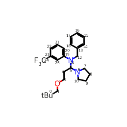 CC(C)(C)COCCC(N1CCCC1)N(Cc1ccccc1)c1cccc(C(F)(F)F)c1